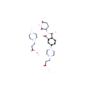 CC(C)(C)OC(=O)CCN1CCN(c2ccc3c(c2)C(=O)N(C2CCC(=O)NC2=O)C3=O)CC1.CC(C)(C)OC(=O)CCN1CCNCC1